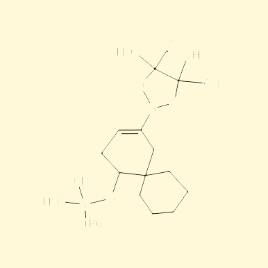 CC1(C)OB(C2=CCC(O[Si](C)(C)C(C)(C)C)C3(CCCCC3)C2)OC1(C)C